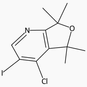 CC1(C)OC(C)(C)c2c1ncc(I)c2Cl